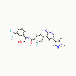 Cc1c(-c2cnc(N)c(-c3ccc(C(=O)NC(CO)c4cccc(C(F)F)c4)c(F)c3)c2)cnn1C